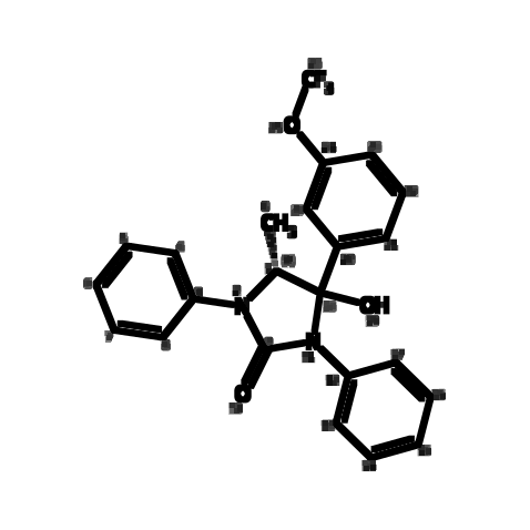 C[C@H]1N(c2ccccc2)C(=O)N(c2ccccc2)C1(O)c1cccc(OC(F)(F)F)c1